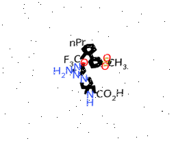 CCCc1ccc(-c2cccc(S(C)(=O)=O)c2)c([C@@H](Oc2cc(N3CCC4(CC3)CN[C@H](C(=O)O)C4)nc(N)n2)C(F)(F)F)c1